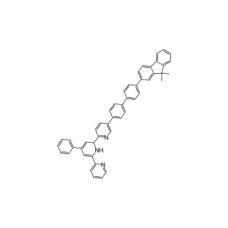 CC1(C)c2ccccc2-c2ccc(-c3ccc(-c4ccc(-c5ccc(C6C=C(c7ccccc7)C=C(c7ccccn7)N6)nc5)cc4)cc3)cc21